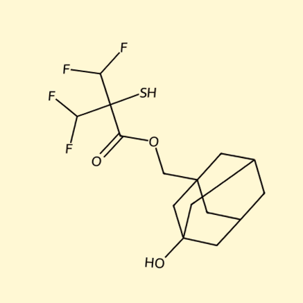 O=C(OCC12CC3CC(CC(O)(C3)C1)C2)C(S)(C(F)F)C(F)F